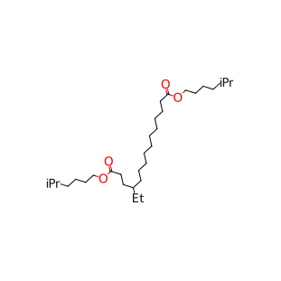 CCC(CCCCCCCCCCC(=O)OCCCCC(C)C)CCC(=O)OCCCCC(C)C